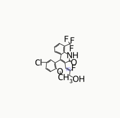 COc1ccc(Cl)cc1-c1c(/C=C(\F)CO)c(=O)[nH]c2c(C(F)(F)F)cccc12